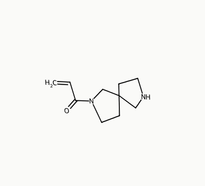 C=CC(=O)N1CCC2(CCNC2)C1